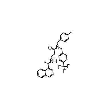 Cc1ccc(CN(Cc2ccc(C(F)(F)F)cc2)C(=O)CCN[C@H](C)c2cccc3ccccc23)cc1